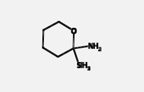 NC1([SiH3])CCCCO1